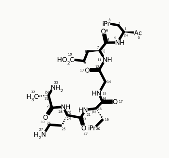 CC(=O)[C@H](CC(C)C)NC(=O)[C@H](CCC(=O)O)NC(=O)CNC(=O)[C@H](CC(C)C)NC(=O)[C@H](CCN)NC(=O)[C@H](C)N